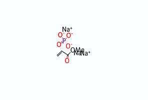 C=CC(=O)OC.O=P([O-])([O-])[O-].[Na+].[Na+].[Na+]